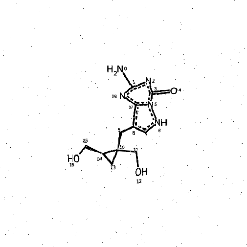 Nc1nc(=O)n2[nH]cc(C[C@@]3(CO)C[C@H]3CO)c2n1